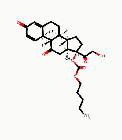 CCCCCOC(=O)O[C@]1(C(=O)CO)CC[C@H]2[C@@H]3CCC4=CC(=O)C=C[C@]4(C)[C@H]3C(=O)C[C@@]21C